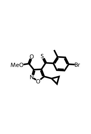 COC(=O)c1noc(C2CC2)c1C(=S)c1ccc(Br)cc1C